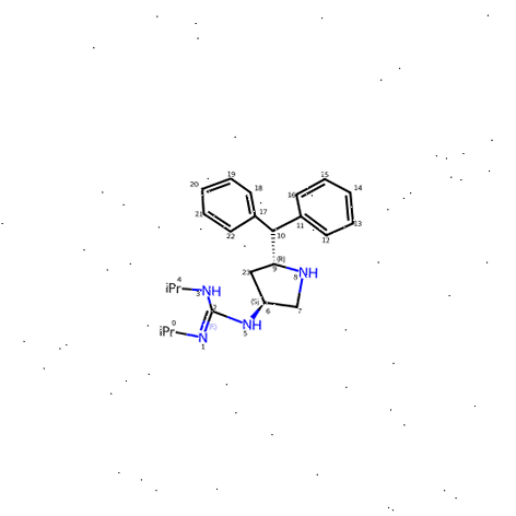 CC(C)/N=C(\NC(C)C)N[C@@H]1CN[C@@H](C(c2ccccc2)c2ccccc2)C1